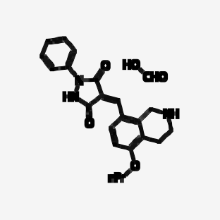 CCCOc1ccc(C=C2C(=O)NN(c3ccccc3)C2=O)c2c1CCNC2.O=CO